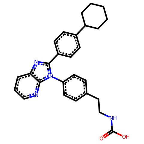 O=C(O)NCCc1ccc(-n2c(-c3ccc(C4CCCCC4)cc3)nc3cccnc32)cc1